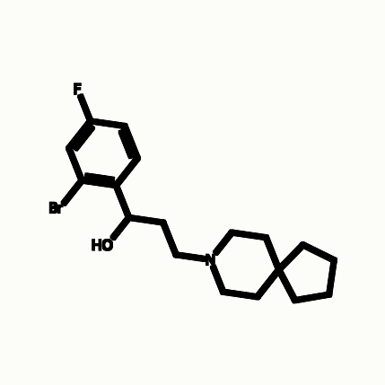 OC(CCN1CCC2(CCCC2)CC1)c1ccc(F)cc1Br